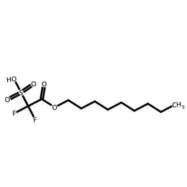 CCCCCCCCCOC(=O)C(F)(F)S(=O)(=O)O